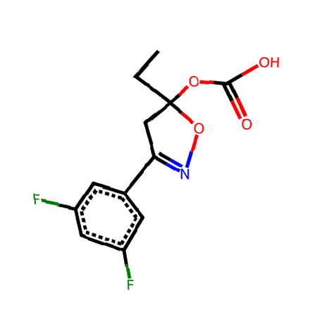 CCC1(OC(=O)O)CC(c2cc(F)cc(F)c2)=NO1